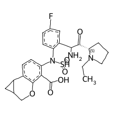 CCN1CCC[C@H]1C(=O)C(N)c1cc(F)ccc1N(c1ccc2c(c1C(=O)O)OCC1CC21)[SH](=O)=O